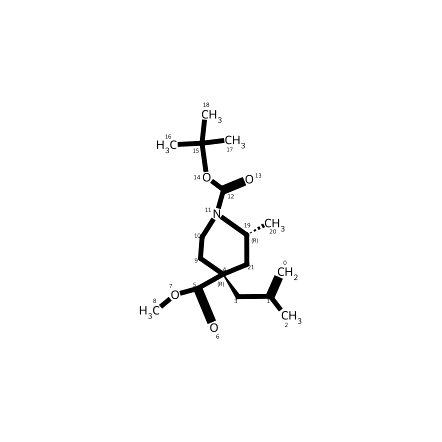 C=C(C)C[C@@]1(C(=O)OC)CCN(C(=O)OC(C)(C)C)[C@H](C)C1